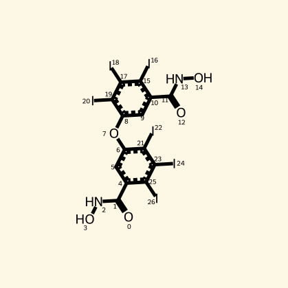 O=C(NO)c1cc(Oc2cc(C(=O)NO)c(I)c(I)c2I)c(I)c(I)c1I